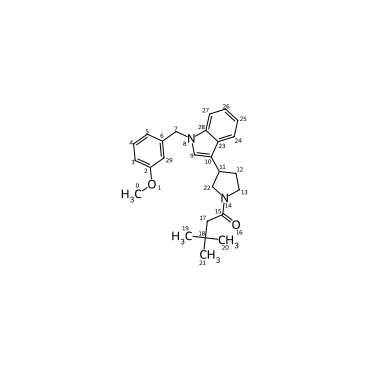 COc1cccc(Cn2cc(C3CCN(C(=O)CC(C)(C)C)C3)c3ccccc32)c1